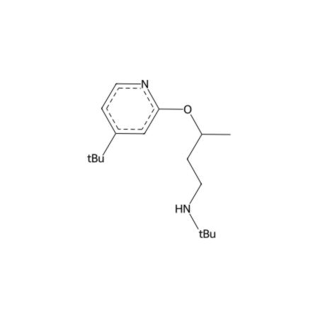 CC(CCNC(C)(C)C)Oc1cc(C(C)(C)C)ccn1